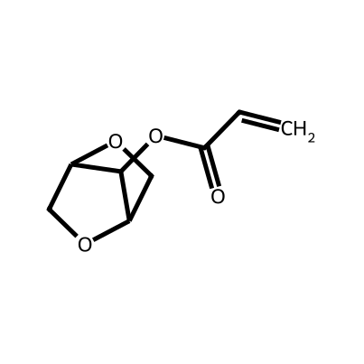 C=CC(=O)OC1C2COC1CO2